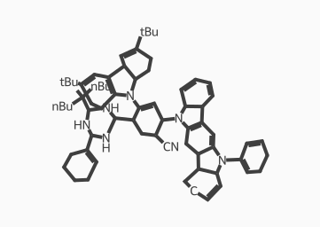 CCCCC(C)(CCCC)C1NC(C2=CCCCC2)NC(C2CC(C#N)C(N3C4=C(C=C5C(C4)C4CCC=CC4N5C4=CCCC=C4)C4C=CC=CC43)C=C2N2C3=C(C=C(C(C)(C)C)CC3)C3C=C(C(C)(C)C)CCC32)N1